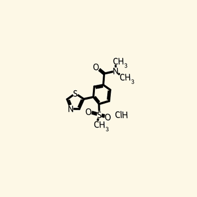 CN(C)C(=O)c1ccc(S(C)(=O)=O)c(-c2cncs2)c1.Cl